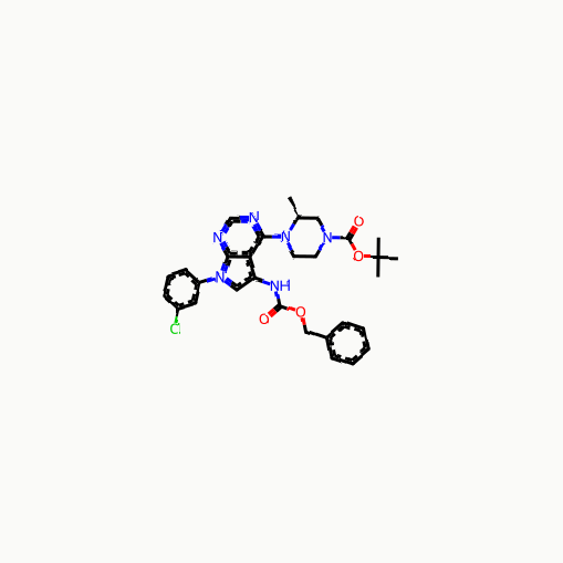 C[C@H]1CN(C(=O)OC(C)(C)C)CCN1c1ncnc2c1c(NC(=O)OCc1ccccc1)cn2-c1cccc(Cl)c1